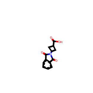 O=C(O)C1CC(N2C(=O)c3ccccc3C2=O)C1